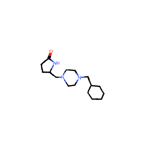 O=C1CCC(CN2CCN(CC3CCCCC3)CC2)N1